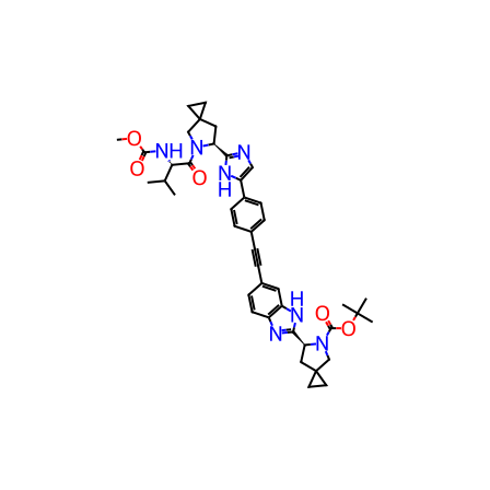 COC(=O)N[C@H](C(=O)N1CC2(CC2)C[C@H]1c1ncc(-c2ccc(C#Cc3ccc4nc([C@@H]5CC6(CC6)CN5C(=O)OC(C)(C)C)[nH]c4c3)cc2)[nH]1)C(C)C